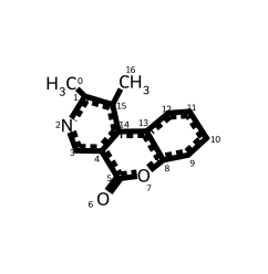 Cc1ncc2c(=O)oc3ccccc3c2c1C